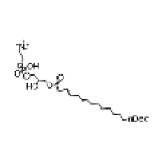 CCCCCCCCCCCCCCCCCC=CCC=CCC(=O)OC[C@@H](O)COP(=O)(O)OCC[N+](C)(C)C